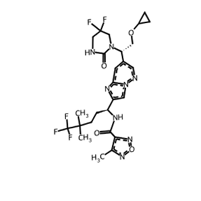 Cc1nonc1C(=O)N[C@@H](CCC(C)(C)C(F)(F)F)c1cn2ncc([C@@H](COC3CC3)N3CC(F)(F)CNC3=O)cc2n1